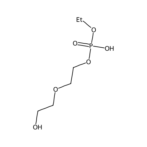 CCOP(=O)(O)OCCOCCO